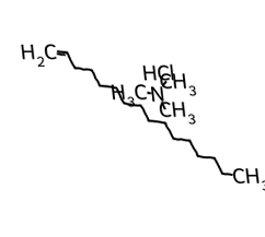 C=CCCCCCCCCCCCCCC.CN(C)C.Cl